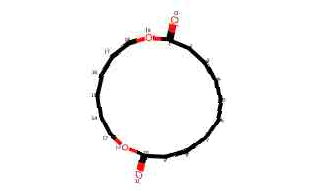 O=C1CCCCCCCCC(=O)OCCCCCCO1